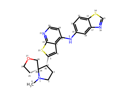 CN1CC[C@@H](c2cc3c(Nc4ccc5scnc5c4)ccnc3s2)[C@@]12CCOC2